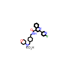 O=C(NCC1CCC(CN(C(=O)O)C2CCOCC2)CC1)c1cc(-c2ccc(F)nc2)nc2ccccc12